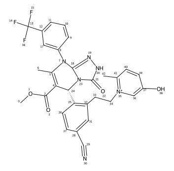 COC(=O)C1=C(C)N(c2cccc(C(F)(F)F)c2)c2n[nH]c(=O)n2[C@@H]1c1ccc(C#N)cc1CC[n+]1cc(O)ccc1C